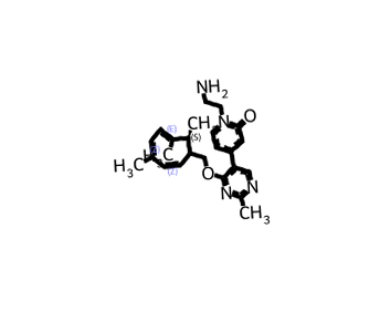 CC1=C/C=C(\C)[C@@H](C)C(COc2nc(C)ncc2-c2ccn(CCN)c(=O)c2)/C=C\1